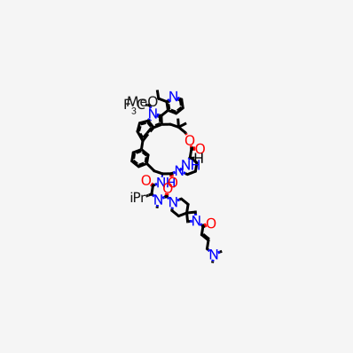 CO[C@@H](C)c1ncccc1-c1c2c3cc(ccc3n1CC(F)(F)F)-c1cccc(c1)C[C@H](NC(=O)C(C(C)C)N(C)C(=O)N1CCC3(CC1)CN(C(=O)/C=C/CN(C)C)C3)C(=O)N1CCC[C@H](N1)C(=O)OCC(C)(C)C2